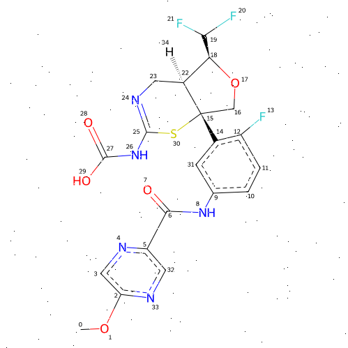 COc1cnc(C(=O)Nc2ccc(F)c([C@]34CO[C@H](C(F)F)[C@@H]3CN=C(NC(=O)O)S4)c2)cn1